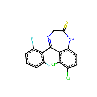 Fc1cccc(F)c1C1=NCC(=S)Nc2ccc(Cl)c(Cl)c21